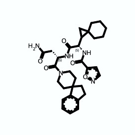 NC(=O)C[C@H](NC(=O)[C@@H](NC(=O)c1ccno1)C1CC12CCCCC2)C(=O)N1CCC2(CCc3ccccc32)CC1